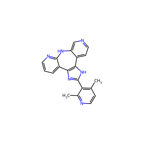 Cc1ccnc(C)c1-c1nc2c([nH]1)-c1ccncc1Nc1ncccc1-2